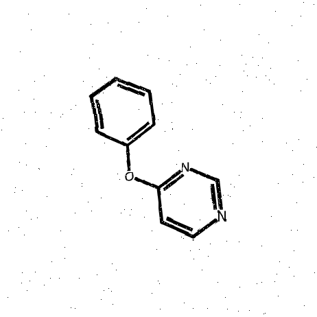 [c]1cc(Oc2ccccc2)ncn1